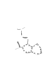 CN(C)N=Nc1c(C(=O)O)[se]c2ncccc12